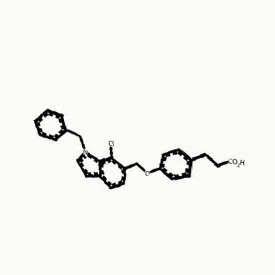 O=C(O)CCc1ccc(OCc2ccc3ccn(Cc4ccccc4)c3c2Cl)cc1